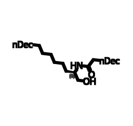 CCCCCCCCCCCCCCCC[C@H](CO)NC(=O)CCCCCCCCCCC